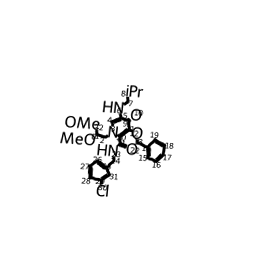 COC(Cn1cc(NCC(C)C)c(=O)c(OCc2ccccc2)c1C(=O)NCc1cccc(Cl)c1)OC